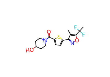 Cc1c(-c2ccc(C(=O)N3CCC(O)CC3)s2)noc1C(C)(F)F